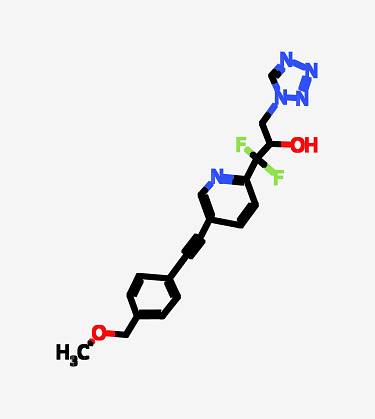 COCc1ccc(C#Cc2ccc(C(F)(F)C(O)Cn3cnnn3)nc2)cc1